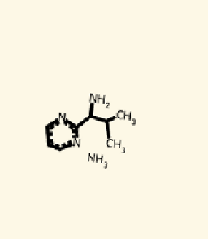 CC(C)C(N)c1ncccn1.N